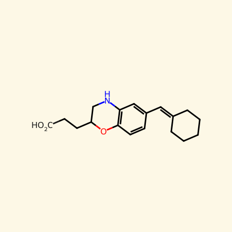 O=C(O)CCC1CNc2cc(C=C3CCCCC3)ccc2O1